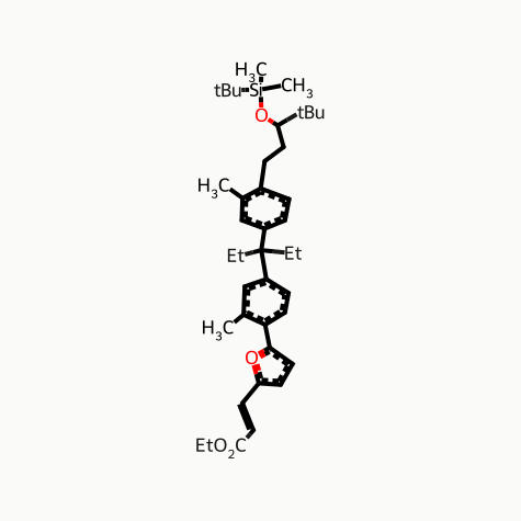 CCOC(=O)/C=C/c1ccc(-c2ccc(C(CC)(CC)c3ccc(CCC(O[Si](C)(C)C(C)(C)C)C(C)(C)C)c(C)c3)cc2C)o1